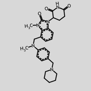 CN(Cc1cccc2c1n(C)c(=O)n2C1CCC(=O)NC1=O)c1ccc(CN2CCCCC2)cc1